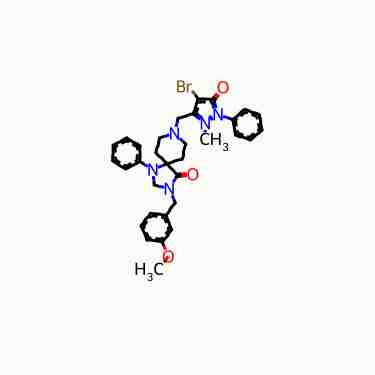 COc1cccc(CN2CN(c3ccccc3)C3(CCN(Cc4c(Br)c(=O)n(-c5ccccc5)n4C)CC3)C2=O)c1